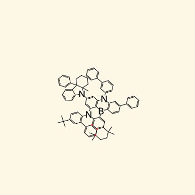 CC(C)(C)c1ccc(N2c3cc4c(cc3B3c5ccc(-c6ccccc6)cc5N(c5cccc(-c6ccccc6)c5)c5cc(N6c7ccccc7C7(c8ccccc8)CCCCC67C)cc2c53)C(C)(C)CCC4(C)C)c(-c2ccccc2)c1